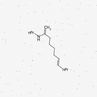 C=C(CCCC/C=C/CCC)NCCC